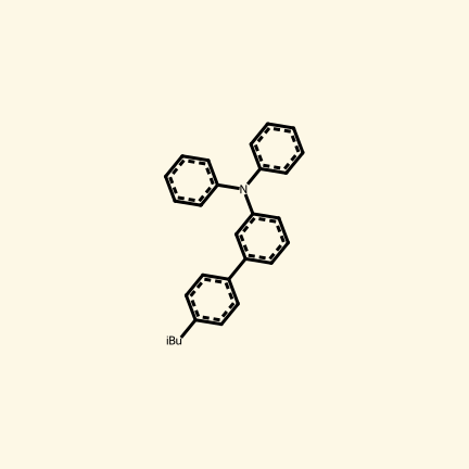 CCC(C)c1ccc(-c2cccc(N(c3ccccc3)c3ccccc3)c2)cc1